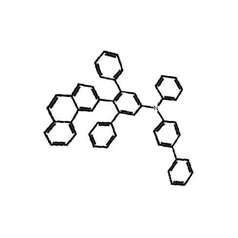 c1ccc(-c2ccc(N(c3ccccc3)c3cc(-c4ccccc4)c(-c4ccc5ccc6ccccc6c5c4)c(-c4ccccc4)c3)cc2)cc1